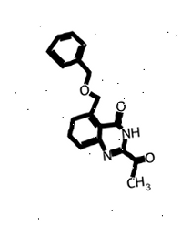 CC(=O)c1nc2c(c(=O)[nH]1)=C(COCc1ccccc1)CCC=2